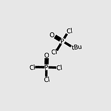 CC(C)(C)P(=O)(Cl)Cl.O=P(Cl)(Cl)Cl